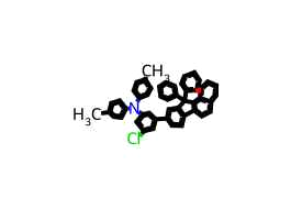 Cc1ccc(N(c2ccc(C)cc2)c2cc(Cl)cc(-c3ccc4c(c3)C(c3ccccc3)(c3ccccc3)c3c-4ccc4ccccc34)c2)cc1